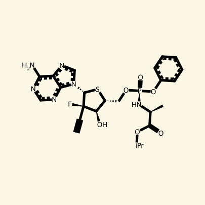 C#C[C@@]1(F)[C@H](O)[C@@H](CO[P@@](=O)(N[C@@H](C)C(=O)OC(C)C)Oc2ccccc2)S[C@H]1n1cnc2c(N)ncnc21